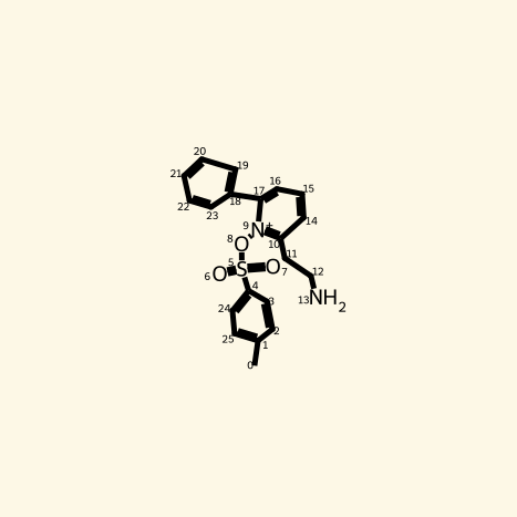 Cc1ccc(S(=O)(=O)O[n+]2c(CCN)cccc2-c2ccccc2)cc1